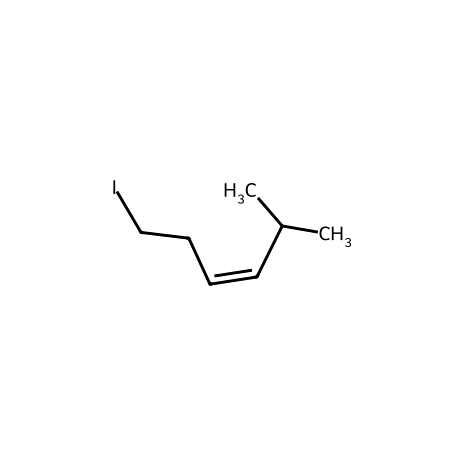 CC(C)/C=C\CCI